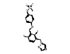 O=S(=O)(F)Oc1ccc(OCc2c(F)ccc(Cn3cncn3)c2F)cc1